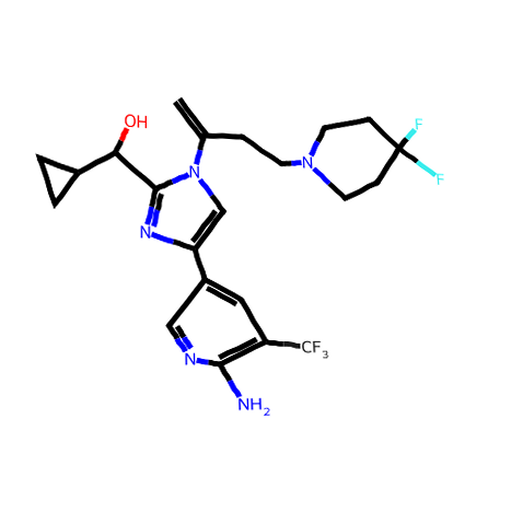 C=C(CCN1CCC(F)(F)CC1)n1cc(-c2cnc(N)c(C(F)(F)F)c2)nc1C(O)C1CC1